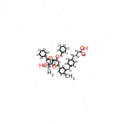 Cc1ccc([C@H]2C[C@@H](OCc3ccccc3)[C@H](OCc3ccccc3)C(C(C)(C)O)O2)cc1Cc1ccc(CCCC(=O)O)cc1